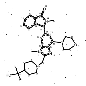 Cn1c(CN2CCC(C(C)(C)O)CC2)nc2c(N3CCOCC3)nc(-n3c4ccccc4c(=O)n3C)nc21